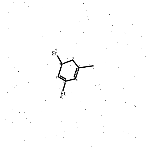 CCC1=CC(CC)CC(C)=C1